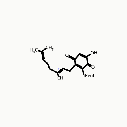 CCCCCC1=C(C/C=C(\C)CCC=C(C)C)C(=O)C=C(O)C1=O